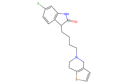 O=C1Nc2cc(F)ccc2C1CCCCN1CCc2sccc2C1